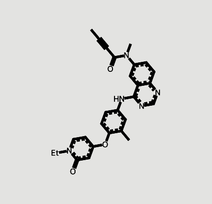 CC#CC(=O)N(C)c1ccc2ncnc(Nc3ccc(Oc4ccn(CC)c(=O)c4)c(C)c3)c2c1